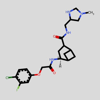 CN1CNC(CNC(=O)C2C[C@H](NC(=O)COc3ccc(Cl)c(F)c3)C3CC2C3)C1